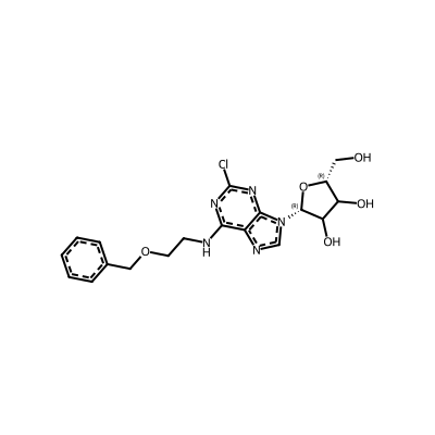 OC[C@H]1O[C@@H](n2cnc3c(NCCOCc4ccccc4)nc(Cl)nc32)C(O)C1O